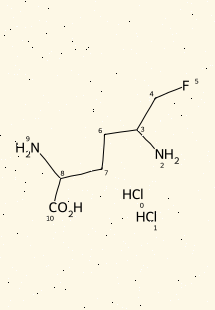 Cl.Cl.NC(CF)CCC(N)C(=O)O